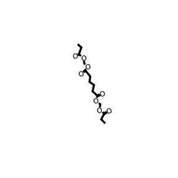 CCC(=O)OCOC(=O)CCCCC(=O)OCOC(=O)CC